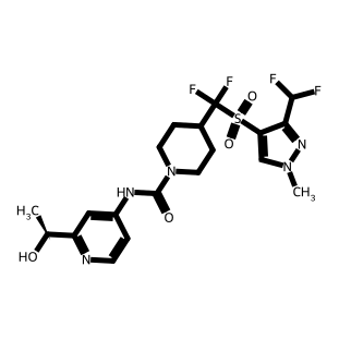 C[C@H](O)c1cc(NC(=O)N2CCC(C(F)(F)S(=O)(=O)c3cn(C)nc3C(F)F)CC2)ccn1